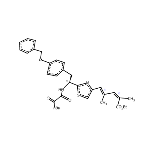 CCCCC(=O)C(=O)N[C@@H](Cc1ccc(OCc2ccccc2)cc1)c1nc(/C=C(C)/C=C(/C)C(=O)OCC)cs1